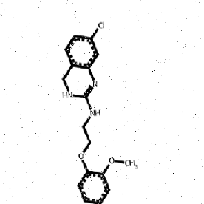 COc1ccccc1OCCNC1=Nc2cc(Cl)ccc2CN1